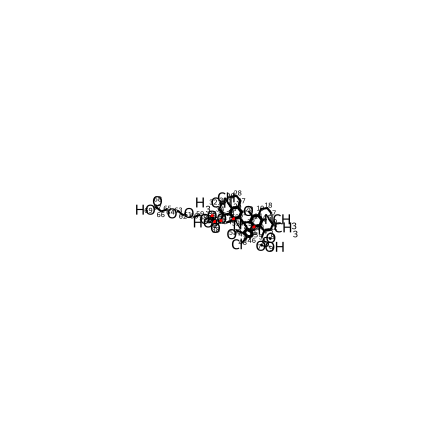 CC1(C)C=C(CS(=O)(=O)O)c2cc3c(c4c2N1CCC4)Oc1c(cc2c4c1CCCN4C(C)(C)C=C2CS(=O)(=O)O)C31c2c(Cl)ccc(Cl)c2C(=O)N1CCOCCOCCOCCOCCC(=O)O